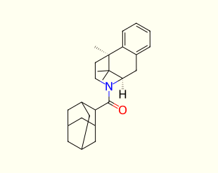 CC1(C)[C@H]2Cc3ccccc3[C@]1(C)CCN2C(=O)C1C2CC3CC(C2)CC1C3